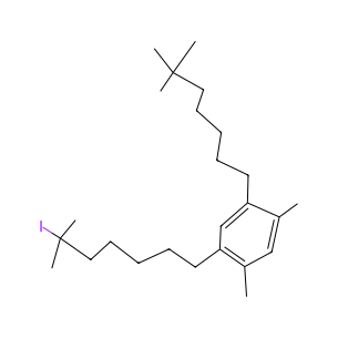 Cc1cc(C)c(CCCCCC(C)(C)I)cc1CCCCCC(C)(C)C